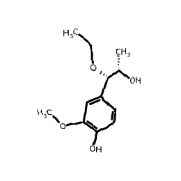 CCO[C@@H](c1ccc(O)c(OC)c1)[C@H](C)O